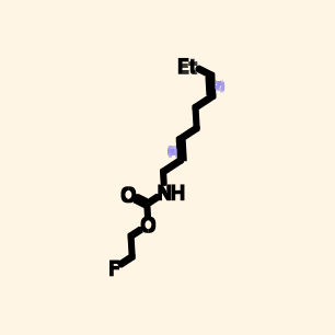 CC/C=C\CC/C=C/CNC(=O)OCCF